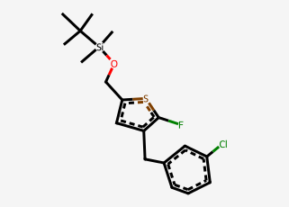 CC(C)(C)[Si](C)(C)OCc1cc(Cc2cccc(Cl)c2)c(F)s1